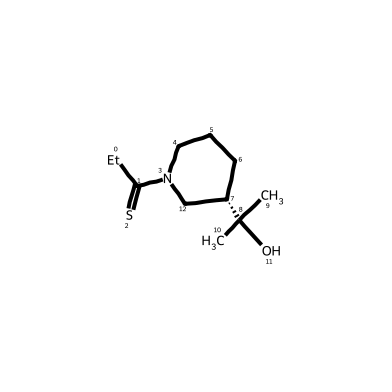 CCC(=S)N1CCC[C@H](C(C)(C)O)C1